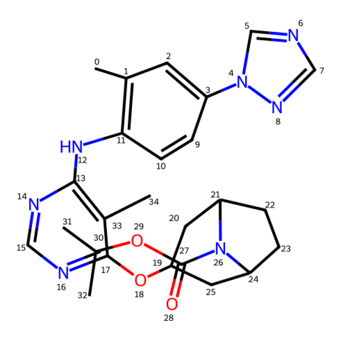 Cc1cc(-n2cncn2)ccc1Nc1ncnc(OC2CC3CCC(C2)N3C(=O)OC(C)C)c1C